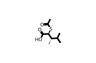 CC(=O)S[C@H](C(=O)O)[C@@H](C)C(C)C